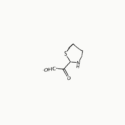 O=[C]C(=O)C1NCCS1